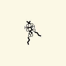 CCCCOC[C@@]1(C=O)O[C@@H]2OC(C)(C)O[C@H]2C1OCCCC